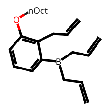 C=CCB(CC=C)c1cccc(OCCCCCCCC)c1CC=C